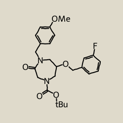 COc1ccc(CN2CC(OCc3cccc(F)c3)CN(C(=O)OC(C)(C)C)CC2=O)cc1